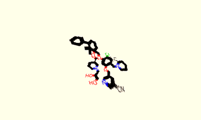 CC1(C)C(c2ccccc2)=CC=CC1(COc1cc(OCc2cncc(C#N)c2)c(CN2CCCC[C@H]2C(=O)O)cc1Cl)OC[C@@H]1CCCN(CC(O)CO)C1